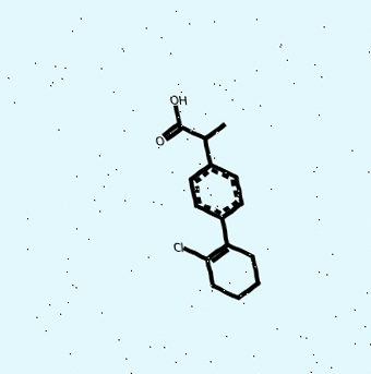 CC(C(=O)O)c1ccc(C2=C(Cl)CCCC2)cc1